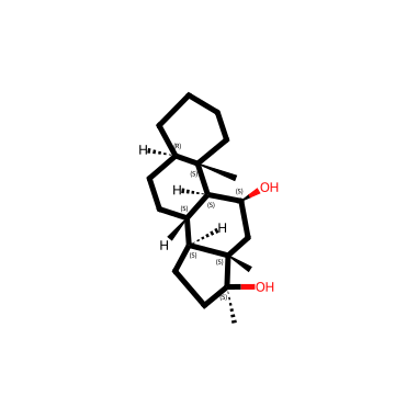 C[C@]12CCCC[C@@H]1CC[C@@H]1[C@@H]2[C@@H](O)C[C@@]2(C)[C@H]1CC[C@]2(C)O